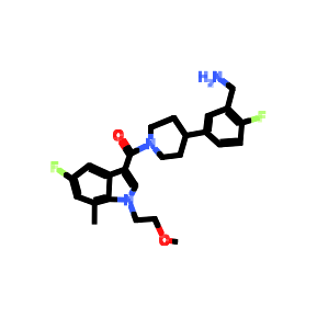 COCCn1cc(C(=O)N2CCC(c3ccc(F)c(CN)c3)CC2)c2cc(F)cc(C)c21